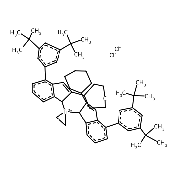 CC(C)(C)c1cc(-c2cccc3c2C=C(C2CCCCC2)[CH]3[Ti+2]2([CH]3C(C4CCCCC4)=Cc4c(-c5cc(C(C)(C)C)cc(C(C)(C)C)c5)cccc43)[CH2][CH2]2)cc(C(C)(C)C)c1.[Cl-].[Cl-]